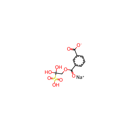 O=C([O-])c1cccc(C(=O)OCC(O)(O)S(=O)(=O)O)c1.[Na+]